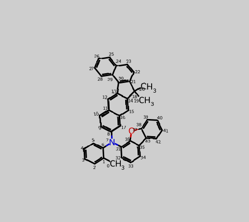 Cc1ccccc1N(c1ccc2cc3c(cc2c1)C(C)(C)c1ccc2ccccc2c1-3)c1cccc2c1oc1ccccc12